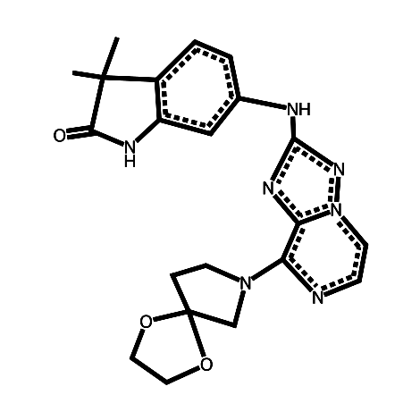 CC1(C)C(=O)Nc2cc(Nc3nc4c(N5CCC6(C5)OCCO6)nccn4n3)ccc21